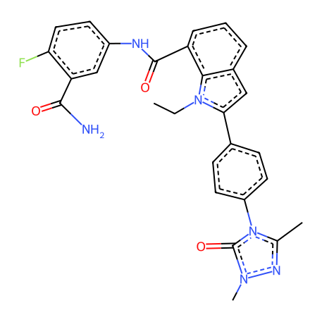 CCn1c(-c2ccc(-n3c(C)nn(C)c3=O)cc2)cc2cccc(C(=O)Nc3ccc(F)c(C(N)=O)c3)c21